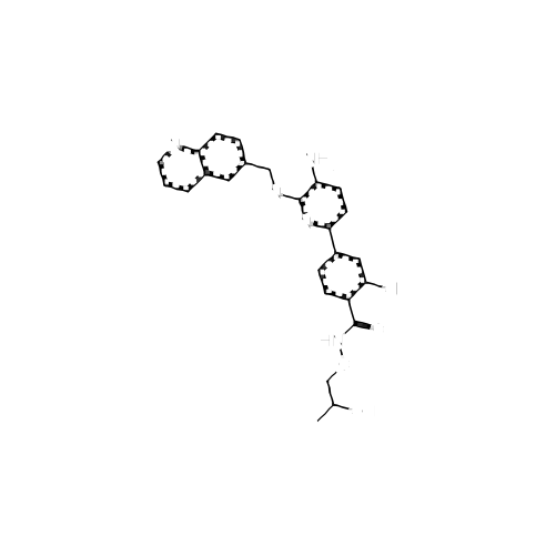 CC(O)CONC(=O)c1ccc(-c2ccc(N)c(NCc3ccc4ncccc4c3)n2)cc1Cl